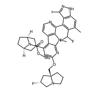 Cc1cc2[nH]nc(I)c2c(-c2nccc3c4c(N5C[C@H]6CC[C@@H](C5)N6C(=O)OC(C)(C)C)nc(OC[C@@]56CCCN5C[C@H](F)C6)nc4n(C)c23)c1C(F)F